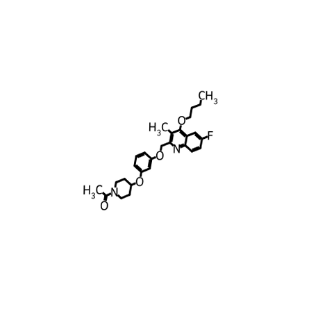 CCCCOc1c(C)c(COc2cccc(OC3CCN(C(C)=O)CC3)c2)nc2ccc(F)cc12